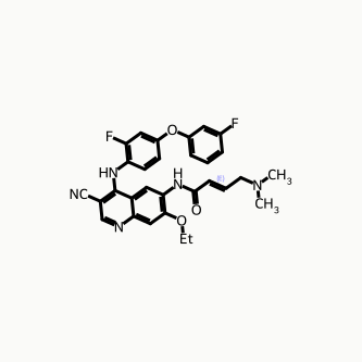 CCOc1cc2ncc(C#N)c(Nc3ccc(Oc4cccc(F)c4)cc3F)c2cc1NC(=O)/C=C/CN(C)C